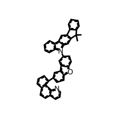 CC1(C)c2ccccc2-c2cc3c4ccccc4n(-c4ccc5oc6ccc(-c7cccc8ccc9cccnc9c78)cc6c5c4)c3cc21